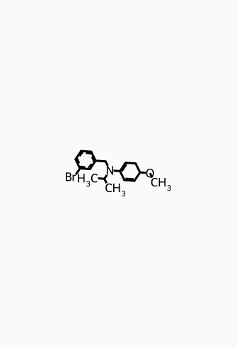 COC1C=CC(N(Cc2cccc(Br)c2)C(C)C)=CC1